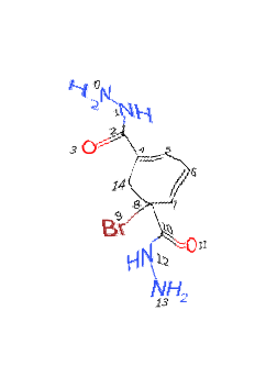 NNC(=O)C1=CC=CC(Br)(C(=O)NN)C1